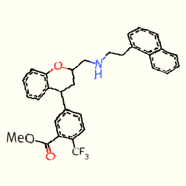 COC(=O)c1cc(C2CC(CNCCc3cccc4ccccc34)Oc3ccccc32)ccc1C(F)(F)F